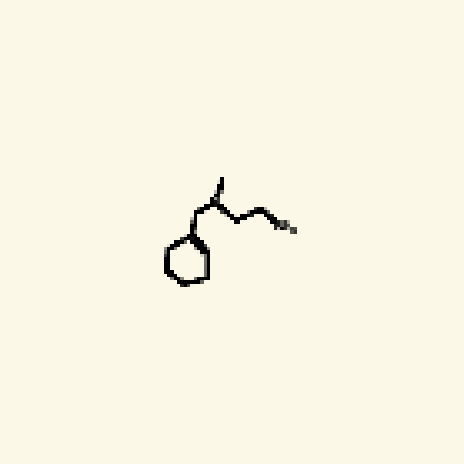 CN(CCN)CC1=CCCCC1